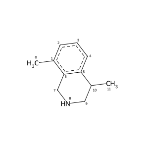 Cc1cccc2c1CNCC2C